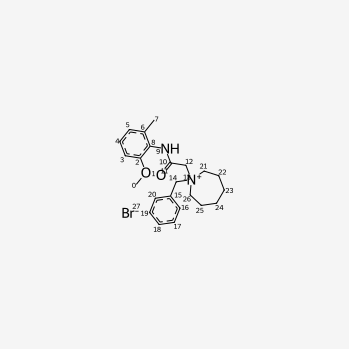 COc1cccc(C)c1NC(=O)C[N+]1(Cc2ccccc2)CCCCCC1.[Br-]